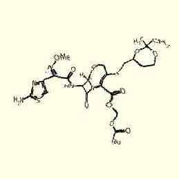 CO/N=C(\C(=O)NC1C(=O)N2C(C(=O)OCOC(=O)C(C)(C)C)=C(SCC3CCOC(C)(C)O3)CS[C@@H]12)c1csc(N)n1